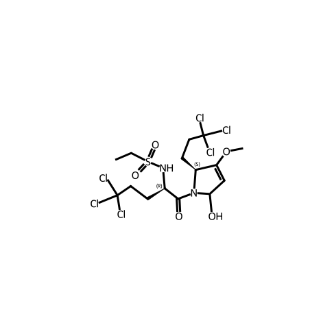 CCS(=O)(=O)N[C@H](CCC(Cl)(Cl)Cl)C(=O)N1C(O)C=C(OC)[C@@H]1CCC(Cl)(Cl)Cl